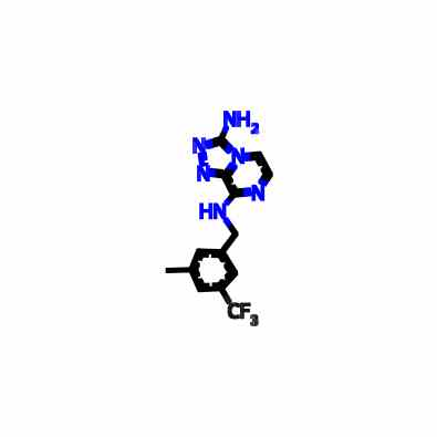 Cc1cc(CNc2nccn3c(N)nnc23)cc(C(F)(F)F)c1